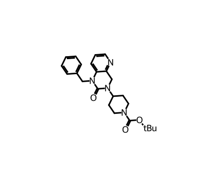 CC(C)(C)OC(=O)N1CCC(N2Cc3ncccc3N(Cc3ccccc3)C2=O)CC1